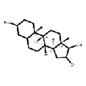 C[C@]12CCC(O)CC1CC[C@@H]1[C@H]2CC[C@]2(C)C(O)C(Br)C[C@@H]12